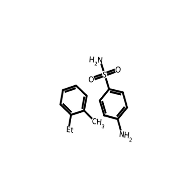 CCc1ccccc1C.Nc1ccc(S(N)(=O)=O)cc1